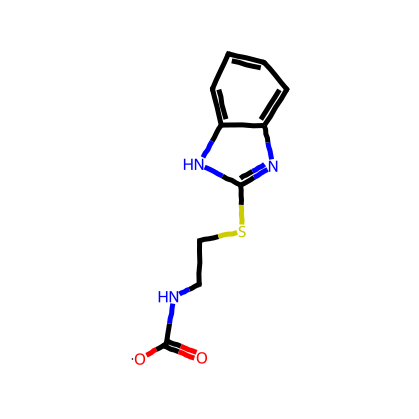 [O]C(=O)NCCSc1nc2ccccc2[nH]1